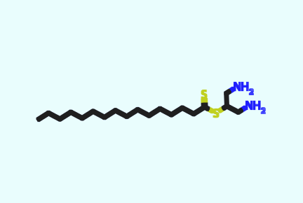 CCCCCCCCCCCCCCCC(=S)SC(CN)CN